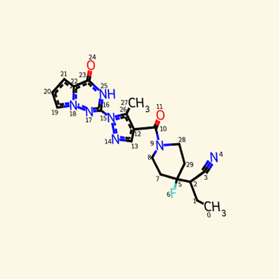 CCC(C#N)C1(F)CCN(C(=O)c2cnn(-c3nn4cccc4c(=O)[nH]3)c2C)CC1